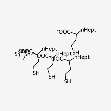 CCCCCCCC(CCS)C(=O)[O-].CCCCCCCC(CCS)C(=O)[O-].CCCCCCCC(CCS)C(=O)[O-].CCCCCCCC(CCS)C(=O)[O-].[CH3][Sn+3].[CH3][Sn+3].[S-2]